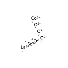 [Co+2].[La+3].[O-2].[O-2].[O-2].[O-2].[Sc+3]